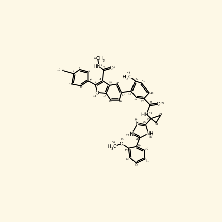 CNC(=O)c1c(-c2ccc(F)cc2)oc2ccc(-c3cc(C(=O)NC4(c5nnc(-c6ccccc6OC)[nH]5)CC4)ccc3C)cc12